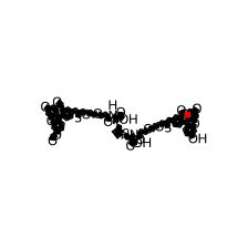 O=COC1=CC2OC3=CC(=O)C=CC3C(c3ccc(CC(=S)COCCOCCC(=O)NC(CSC4CCC4SCC(NC(=O)CCOCCOCC(=S)Cc4ccc(C5=C6C=CC(O)=CC6OC6=CC(=O)C=CC65)c(C(=O)O)c4)C(=O)O)C(=O)O)cc3OC=O)=C2C=C1